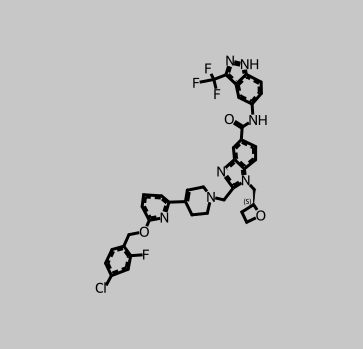 O=C(Nc1ccc2[nH]nc(C(F)(F)F)c2c1)c1ccc2c(c1)nc(CN1CC=C(c3cccc(OCc4ccc(Cl)cc4F)n3)CC1)n2C[C@@H]1CCO1